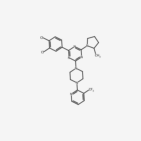 CC1CCCN1c1nc(-c2ccc(Cl)c(Cl)c2)nc(N2CCN(c3ncccc3C(F)(F)F)CC2)n1